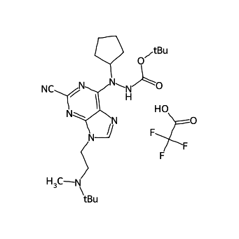 CN(CCn1cnc2c(N(NC(=O)OC(C)(C)C)C3CCCC3)nc(C#N)nc21)C(C)(C)C.O=C(O)C(F)(F)F